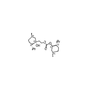 CC(C)[C@@H]1CC[C@@H](C)C[C@H]1OC(=O)OCC[C@]1(O)C[C@H](C)CC[C@H]1C(C)C